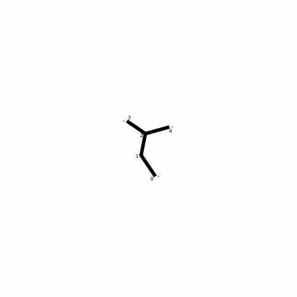 [CH2]CC([CH2])[CH2]